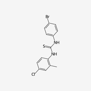 Cc1cc(Cl)ccc1NC(=S)Nc1ccc(Br)cc1